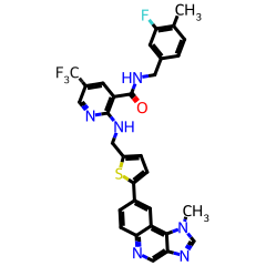 Cc1ccc(CNC(=O)c2cc(C(F)(F)F)cnc2NCc2ccc(-c3ccc4ncc5ncn(C)c5c4c3)s2)cc1F